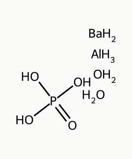 O.O.O=P(O)(O)O.[AlH3].[BaH2]